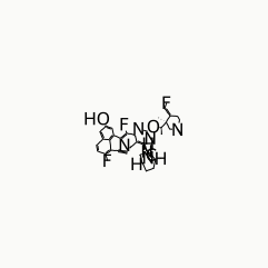 C#Cc1c(F)ccc2cc(O)cc(-c3ncc4c(N5C[C@H]6CC[C@@H](C5)N6)nc(O[C@H](C)[C@]5(C)CN(C)CC/C5=C\F)nc4c3F)c12